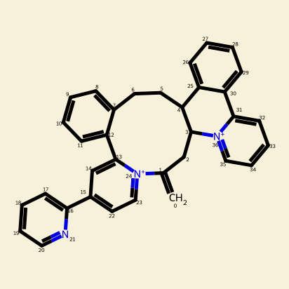 C=C1CC2C(CCc3ccccc3-c3cc(-c4ccccn4)cc[n+]31)c1ccccc1-c1cccc[n+]12